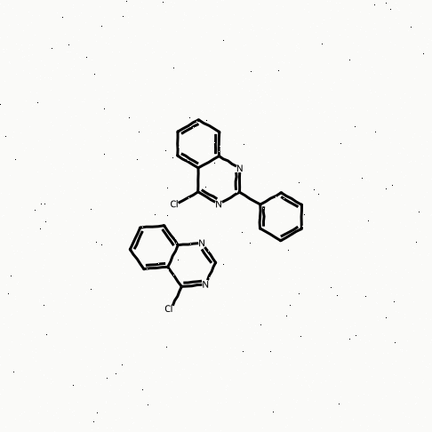 Clc1nc(-c2ccccc2)nc2ccccc12.Clc1ncnc2ccccc12